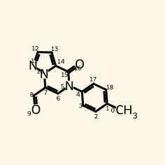 Cc1ccc(-n2cc(C=O)n3nccc3c2=O)cc1